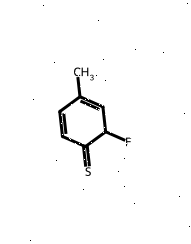 CC1=CC(F)C(=S)C=C1